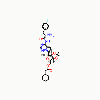 CC1(C)O[C@H]2[C@@H](O1)[C@](C#N)(c1ccc3c(NC(=O)[C@@H](N)Cc4ccc(F)cc4)ncnn13)O[C@@H]2COC(=O)CC1CCCCC1